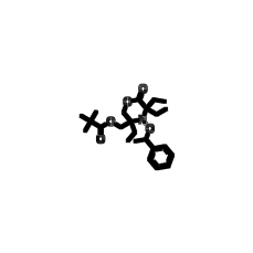 CCC1(COC(=O)C(C)(C)C)COC(=O)C(CC)(CC)N1OC(C)c1ccccc1